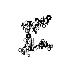 CC[C@H](C)[C@@H]([C@@H](CC(=O)N1CCC[C@H]1[C@H](OC)[C@@H](C)C(=O)N[C@H](C)C[C@]1(O)C=CC=CC1)OC)N(C)C(=O)[C@@H](NC(=O)[C@H](C(C)C)N(C)C(=O)OCc1ccc(NC(=O)[C@H](CCCNC(N)=O)NC(=O)[C@@H](NC(=O)CO/N=C(\C)c2cc([N+](=O)[O-])cnc2S(C)(=O)=O)C(C)C)cc1)C(C)C